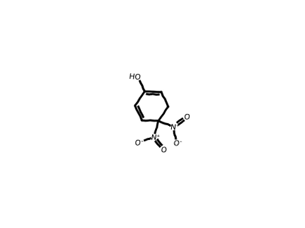 O=[N+]([O-])C1([N+](=O)[O-])C=CC(O)=CC1